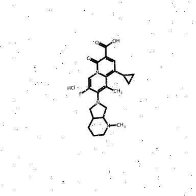 Cc1c(N2CC3CCCN(C)C3C2)c(F)cn2c(=O)c(C(=O)O)cc(C3CC3)c12.Cl